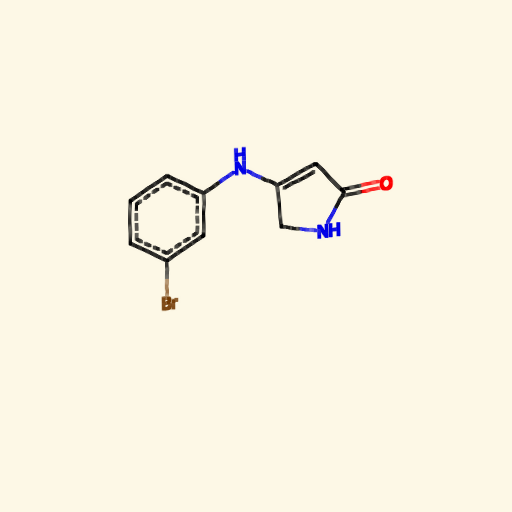 O=C1C=C(Nc2cccc(Br)c2)CN1